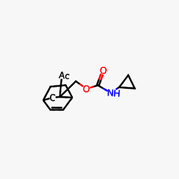 CC(=O)C1(COC(=O)NC2CC2)CC2C=CC1CC2